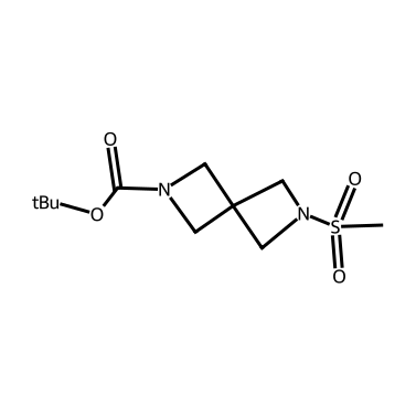 CC(C)(C)OC(=O)N1CC2(C1)CN(S(C)(=O)=O)C2